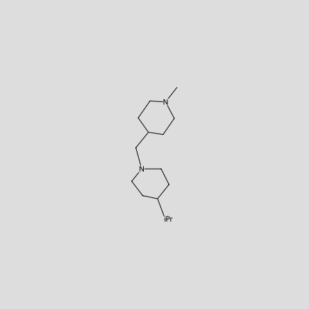 CC(C)C1CCN(CC2CCN(C)CC2)CC1